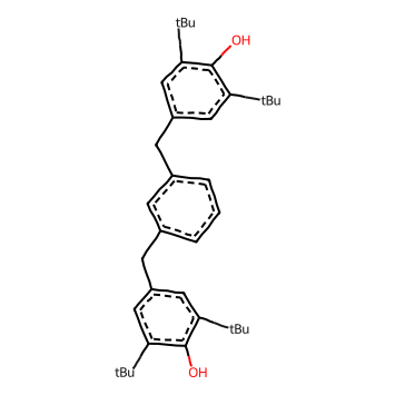 CC(C)(C)c1cc(Cc2cccc(Cc3cc(C(C)(C)C)c(O)c(C(C)(C)C)c3)c2)cc(C(C)(C)C)c1O